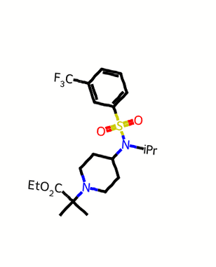 CCOC(=O)C(C)(C)N1CCC(N(C(C)C)S(=O)(=O)c2cccc(C(F)(F)F)c2)CC1